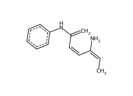 C=C(/C=C\C(N)=C/C)Nc1ccccc1